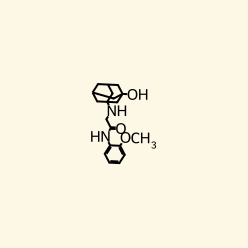 COc1ccccc1NC(=O)CNC12CC3CC(CC(O)(C3)C1)C2